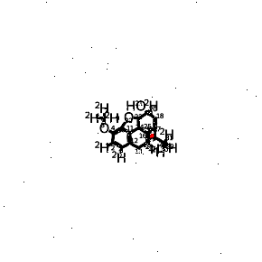 [2H]c1c([2H])c(OC([2H])([2H])[2H])c2c3c1C[C@]1([2H])[C@@H]4C=CC([2H])(O)C(O2)[C@]34CCN1C([2H])([2H])[2H]